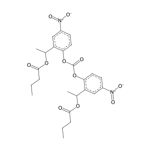 CCCC(=O)OC(C)c1cc([N+](=O)[O-])ccc1OC(=O)Oc1ccc([N+](=O)[O-])cc1C(C)OC(=O)CCC